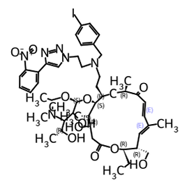 CCO[C@@H](O[C@H]1[C@@H](CCN(CCn2cc(-c3ccccc3[N+](=O)[O-])nn2)Cc2ccc(I)cc2)C[C@@H](C)C(=O)/C=C/C(C)=C/[C@H](CO)[C@@H](CC)OC(=O)C[C@@H](O)[C@@H]1C)C(O)C([C@@H](C)O)N(C)C